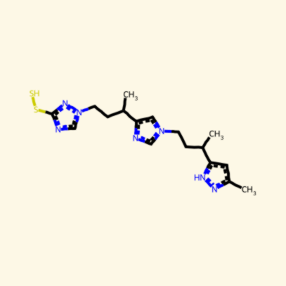 Cc1cc(C(C)CCn2cnc(C(C)CCn3cnc(SS)n3)c2)[nH]n1